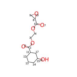 O=C(OCCOC(=O)C1CO1)C1CCCC(O)C1